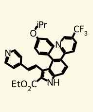 CCOC(=O)c1[nH]c2ccc(-c3ccc(C(F)(F)F)cn3)c(-c3ccc(OC(C)C)cc3)c2c1C=Cc1ccncc1